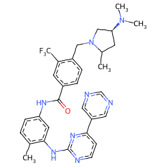 Cc1ccc(NC(=O)c2ccc(CN3C[C@@H](N(C)C)CC3C)c(C(F)(F)F)c2)cc1Nc1nccc(-c2cncnc2)n1